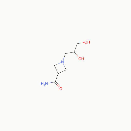 NC(=O)C1CN(CC(O)CO)C1